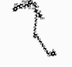 COc1cnc(-n2cnc(C(=O)NC3CC(N(CCOCCOCCOCCOCc4cn(CCOCCOCCOCCOCCC(=O)Oc5c(F)cc(F)cc5F)nn4)C(=O)C4CC(O)C4)C3)n2)c2[nH]cc(C(=O)C(=O)N3CCC(=C(C#N)c4ccccc4)CC3)c12